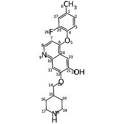 Cc1ccc(Oc2ccnc3cc(OCC4CCNCC4)c(O)cc23)c(F)c1